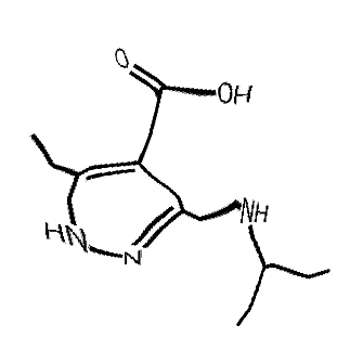 Cc1[nH]nc(NC(C)C)c1C(=O)O